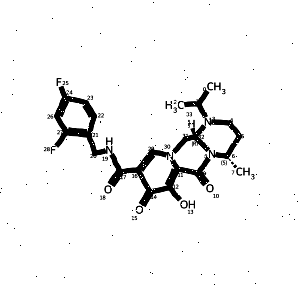 CC(C)N1CC[C@H](C)N2C(=O)c3c(O)c(=O)c(C(=O)NCc4ccc(F)cc4F)cn3C[C@H]12